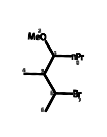 CCCC(OC)C(C)C(C)Br